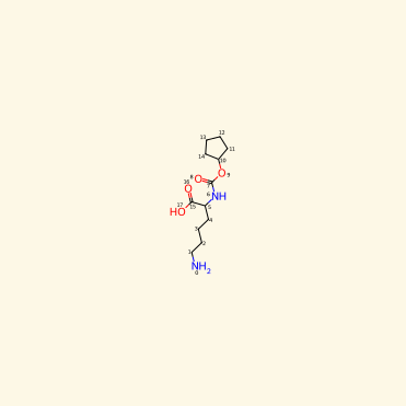 NCCCCC(NC(=O)OC1CCCC1)C(=O)O